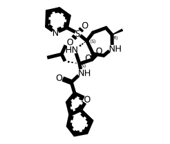 CC(C)C[C@](C=O)(NC(=O)c1cc2ccccc2o1)N[C@]1(S(=O)(=O)c2ccccn2)CC[C@@H](C)NCC1=O